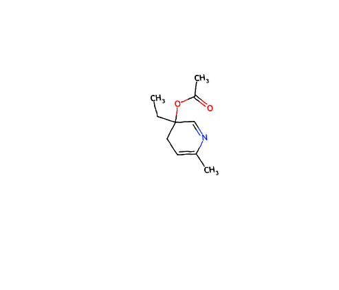 CCC1(OC(C)=O)C=NC(C)=CC1